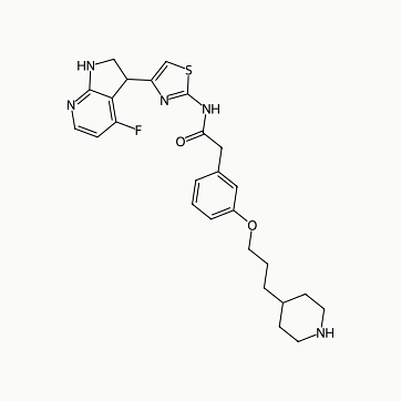 O=C(Cc1cccc(OCCCC2CCNCC2)c1)Nc1nc(C2CNc3nccc(F)c32)cs1